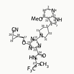 COc1ccnc2[nH]cc(C3CCN(c4nc(OC[C@H]5C[C@H]5C#N)nc(C(=O)N[C@@H](C)C(F)(F)F)n4)CC3)c12